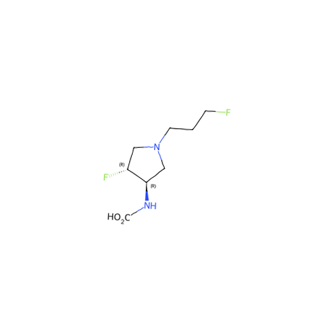 O=C(O)N[C@@H]1CN(CCCF)C[C@H]1F